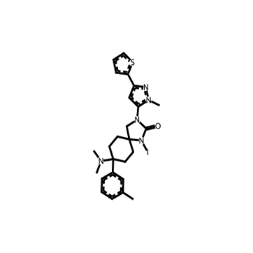 Cc1cccc(C2(N(C)C)CCC3(CC2)CN(c2cc(-c4cccs4)nn2C)C(=O)N3I)c1